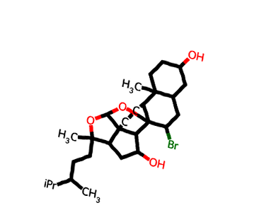 CC(C)C(C)CCC1(C)OC2OC34C(Br)CC5CC(O)CCC5(C)C3CCC23C1CC(O)C34